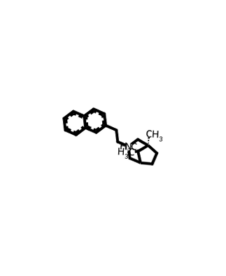 CC1(C)C2CC[C@]1(C)CN(CCc1ccc3ccccc3c1)C2